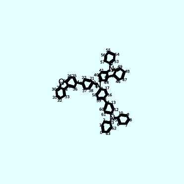 c1ccc(N(c2ccccc2)c2ccc(-c3ccc(N(c4ccc(-c5ccc6oc7ccccc7c6c5)cc4)c4ccc5c(c4)c4ccccc4n5-c4ccccc4)cc3)cc2)cc1